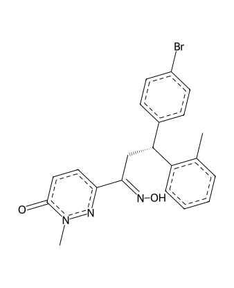 Cc1ccccc1[C@H](C/C(=N\O)c1ccc(=O)n(C)n1)c1ccc(Br)cc1